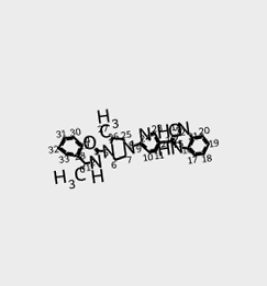 C[C@@H](NC(=O)N1CCN(c2ccc(C(=O)Nc3ccccc3N)cn2)C[C@@H]1C)c1ccccc1